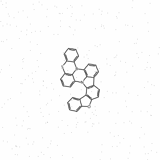 c1ccc2c(c1)Sc1cccc3c1B2c1cccc2c4ccc5oc6ccccc6c5c4n-3c12